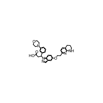 O=C(O)CC(c1cccc(N2CCOCC2)c1)n1ncc2cc(OCCc3ccc4c(n3)NCCC4)ccc21